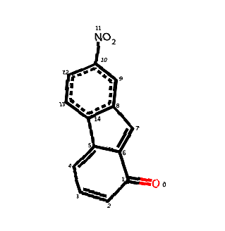 O=C1C=CC=C2C1=Cc1cc([N+](=O)[O-])ccc12